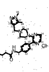 CCCC(=O)NCc1ccc(-c2nccnc2N2CCN(Cc3cnn(C)c3C)CC2)cc1.Cl